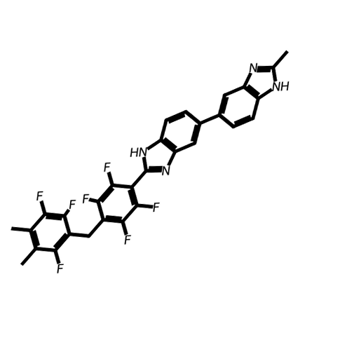 Cc1nc2cc(-c3ccc4[nH]c(-c5c(F)c(F)c(Cc6c(F)c(C)c(C)c(F)c6F)c(F)c5F)nc4c3)ccc2[nH]1